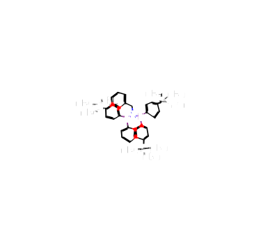 CCCC[Si](CCCC)(CCCC)c1ccc(P(c2ccc([Si](CCCC)(CCCC)CCCC)cc2)N(Cc2ccccc2)P(c2ccc([Si](CCCC)(CCCC)CCCC)cc2)c2ccccc2C)cc1